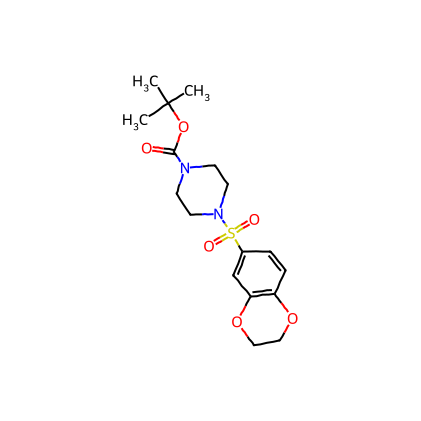 CC(C)(C)OC(=O)N1CCN(S(=O)(=O)c2ccc3c(c2)OCCO3)CC1